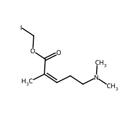 CC(=CCCN(C)C)C(=O)OCI